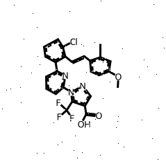 COc1ccc(/C=C/c2c(Cl)cccc2-c2cccc(-n3ncc(C(=O)O)c3C(F)(F)F)n2)c(C)c1